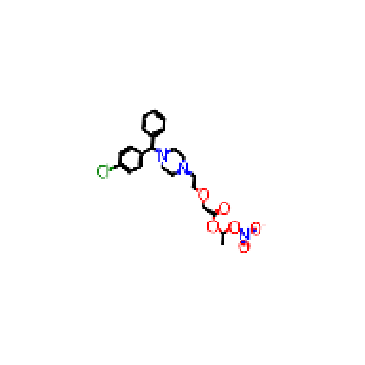 CC(OC(=O)COCCN1CCN(C(c2ccccc2)c2ccc(Cl)cc2)CC1)O[N+](=O)[O-]